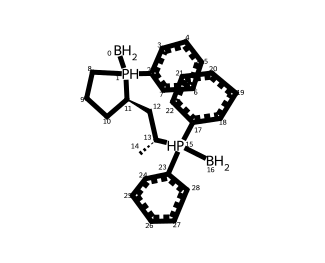 B[PH]1(c2ccccc2)CCC[C@@H]1C[C@@H](C)[PH](B)(c1ccccc1)c1ccccc1